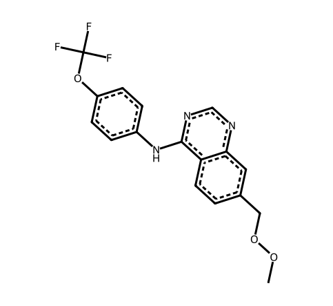 COOCc1ccc2c(Nc3ccc(OC(F)(F)F)cc3)ncnc2c1